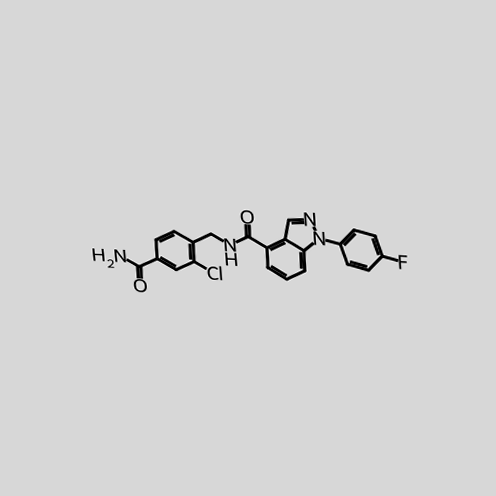 NC(=O)c1ccc(CNC(=O)c2cccc3c2cnn3-c2ccc(F)cc2)c(Cl)c1